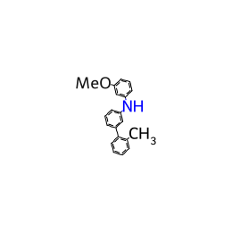 COc1cccc(Nc2cccc(-c3ccccc3C)c2)c1